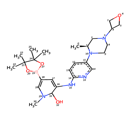 C[C@H]1CN(C2COC2)CCN1c1ccc(NC2=CC(B3OC(C)(C)C(C)(C)O3)=CN(C)C2O)nc1